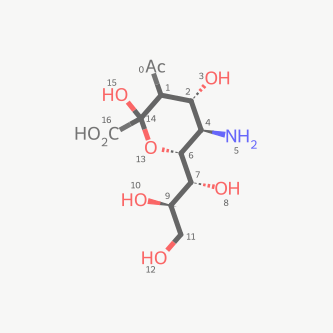 CC(=O)C1[C@H](O)[C@@H](N)[C@H]([C@H](O)[C@H](O)CO)OC1(O)C(=O)O